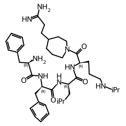 CC(C)C[C@@H](NC(=O)[C@@H](Cc1ccccc1)NC(=O)[C@H](N)Cc1ccccc1)C(=O)N[C@H](CCCNC(C)C)C(=O)N1CCCC(CCC(=N)N)CC1